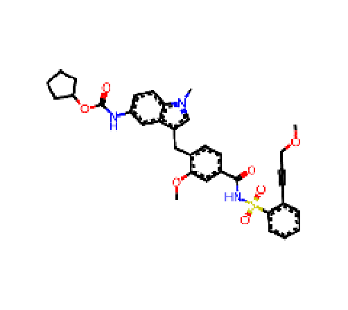 COCC#Cc1ccccc1S(=O)(=O)NC(=O)c1ccc(Cc2cn(C)c3ccc(NC(=O)OC4CCCC4)cc23)c(OC)c1